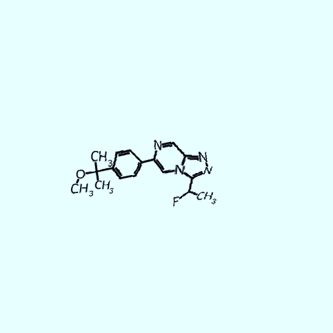 COC(C)(C)c1ccc(-c2cn3c(C(C)F)nnc3cn2)cc1